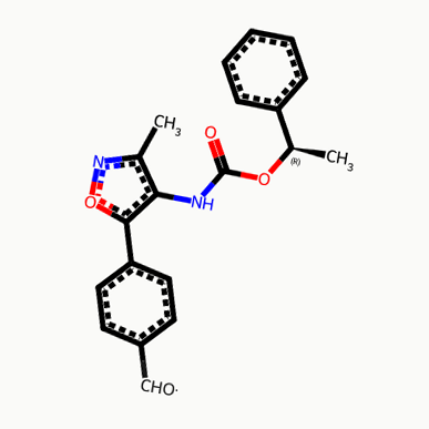 Cc1noc(-c2ccc([C]=O)cc2)c1NC(=O)O[C@H](C)c1ccccc1